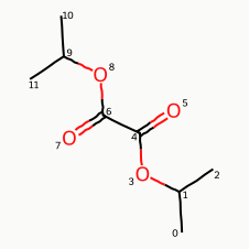 CC(C)OC(=O)C(=O)OC(C)C